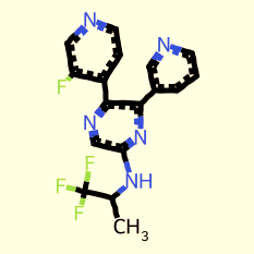 CC(Nc1cnc(-c2ccncc2F)c(-c2cccnc2)n1)C(F)(F)F